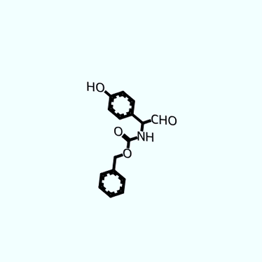 O=CC(NC(=O)OCc1ccccc1)c1ccc(O)cc1